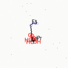 CC/C=C\C/C=C\C/C=C\CCCCCCCC(=O)OC[C@H]1OC(OC(C)C)[C@H](O)[C@@H](O)[C@@H]1O